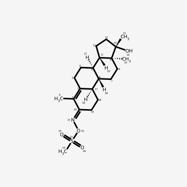 CC1=C2CC[C@@H]3[C@H](CC[C@@]4(C)[C@H]3CC[C@]4(C)O)[C@H]2CC/C1=N\OS(C)(=O)=O